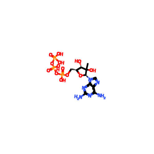 CC1(O)[C@@H](O)[C@@H](COP(=O)(O)OP(=O)(O)OP(=O)(O)O)O[C@H]1n1cnc2c(N)nc(N)nc21